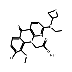 CCN(c1ccc2c(=O)c3ccc(Cl)c(SC)c3n(CC(=O)[O-])c2n1)C1COC1.[Na+]